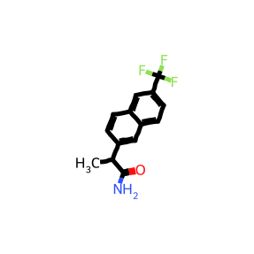 CC(C(N)=O)c1ccc2cc(C(F)(F)F)ccc2c1